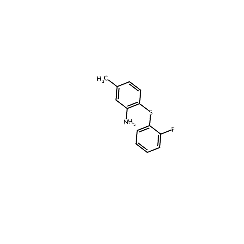 Cc1ccc(Sc2ccccc2F)c(N)c1